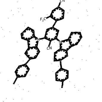 Cc1ccc(-c2ccc3c(c2)c2ccccc2n3-c2cc(-c3ccc(C#N)cc3C(F)(F)F)cc(-n3c4ccccc4c4cc(-c5ccc(C)cc5)ccc43)c2C#N)cc1